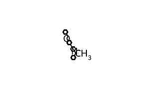 C[C@H](c1ccccc1)N1CC=C(c2ccc(OCc3ccccc3)cc2)CC1